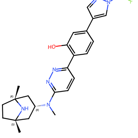 CN(c1ccc(-c2ccc(-c3cnn(CF)c3)cc2O)nn1)[C@@H]1C[C@]2(C)CC[C@](C)(C1)N2